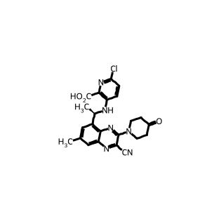 Cc1cc([C@@H](C)Nc2ccc(Cl)nc2C(=O)O)c2nc(N3CCC(=O)CC3)c(C#N)nc2c1